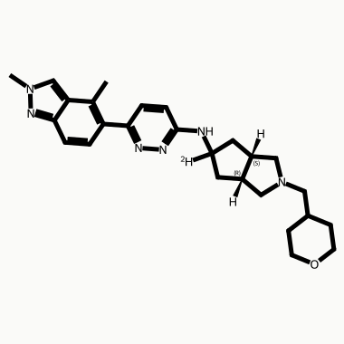 [2H]C1(Nc2ccc(-c3ccc4nn(C)cc4c3C)nn2)C[C@H]2CN(CC3CCOCC3)C[C@H]2C1